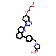 COCCOc1ccc2c(c1)ncn2-c1ccc2cccc(-c3ccc(CN4CC[C@@H](O)C4)cc3)c2n1